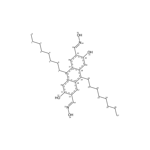 CCCCCCCCc1c2cc(O)c(C=NO)cc2c(CCCCCCCC)c2cc(O)c(C=NO)cc12